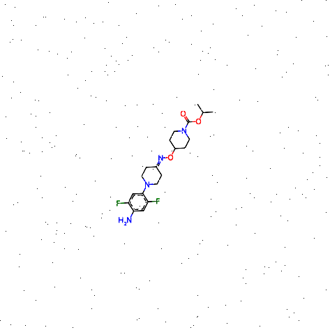 CC(C)OC(=O)N1CCC(ON=C2CCN(c3cc(F)c(N)cc3F)CC2)CC1